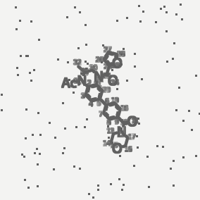 CC(=O)N1c2ccc(-c3ccc(C(=O)N4CCOCC4)cc3)cc2N(C(=O)c2ccco2)C[C@@H]1C